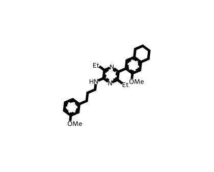 CCc1nc(-c2cc3c(cc2OC)CCCC3)c(CC)nc1NCCCc1cccc(OC)c1